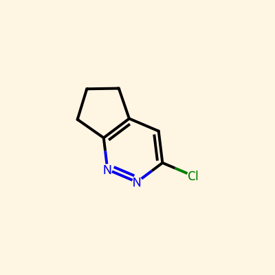 Clc1cc2c(nn1)CCC2